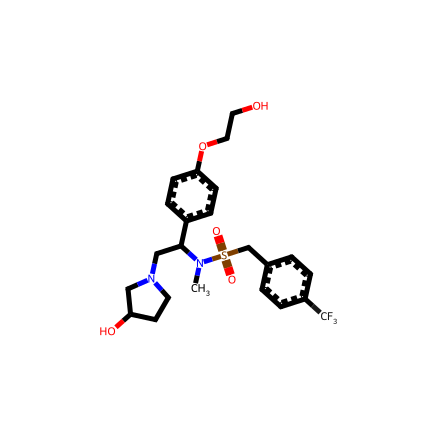 CN(C(CN1CCC(O)C1)c1ccc(OCCO)cc1)S(=O)(=O)Cc1ccc(C(F)(F)F)cc1